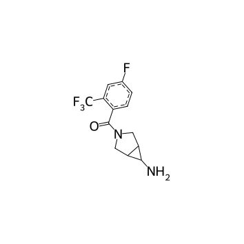 NC1C2CN(C(=O)c3ccc(F)cc3C(F)(F)F)CC12